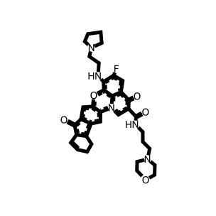 O=C(NCCCN1CCOCC1)c1cn2c3cc4c5c(c(=O)c4cc3oc3c(NCCN4CCCC4)c(F)cc(c1=O)c32)C=CCC5